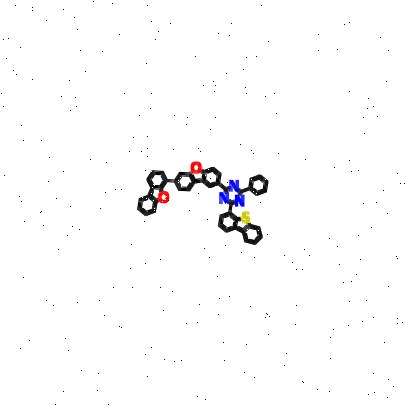 c1ccc(-c2nc(-c3ccc4oc5cc(-c6cccc7c6oc6ccccc67)ccc5c4c3)nc(-c3cccc4c3sc3ccccc34)n2)cc1